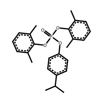 Cc1cccc(C)c1OP(=O)(Oc1ccc(C(C)C)cc1)Oc1c(C)cccc1C